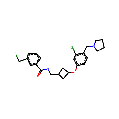 O=C(NCC1CC(Oc2ccc(CN3CCCC3)c(Cl)c2)C1)c1cccc(CF)c1